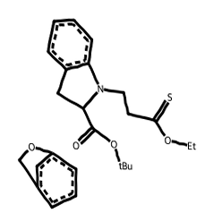 CCOC(=S)CCN1c2ccccc2CC1C(=O)OC(C)(C)C.c1cc2cc(c1)OC2